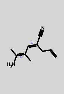 C=CC/C(C#N)=C\C(C)=C(/C)N